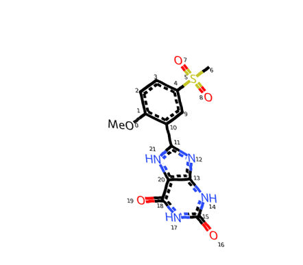 COc1ccc(S(C)(=O)=O)cc1-c1nc2[nH]c(=O)[nH]c(=O)c2[nH]1